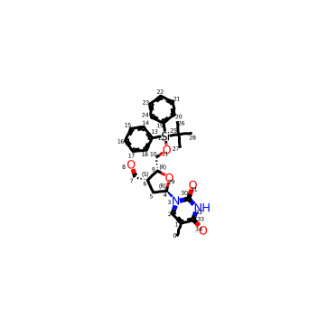 Cc1cn([C@H]2C[C@H](C=O)[C@H](CO[Si](c3ccccc3)(c3ccccc3)C(C)(C)C)O2)c(=O)[nH]c1=O